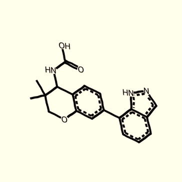 CC1(C)COc2cc(-c3cccc4cn[nH]c34)ccc2C1NC(=O)O